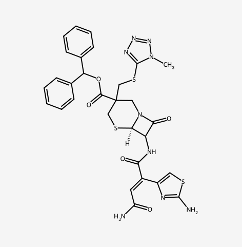 Cn1nnnc1SCC1(C(=O)OC(c2ccccc2)c2ccccc2)CS[C@@H]2C(NC(=O)C(=CC(N)=O)c3csc(N)n3)C(=O)N2C1